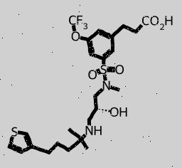 CN(C[C@H](O)CNC(C)(C)CCCc1ccsc1)S(=O)(=O)c1cc(CCC(=O)O)cc(OC(F)(F)F)c1